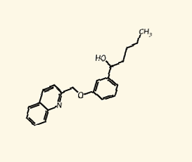 CCCCC(O)c1cccc(OCc2ccc3ccccc3n2)c1